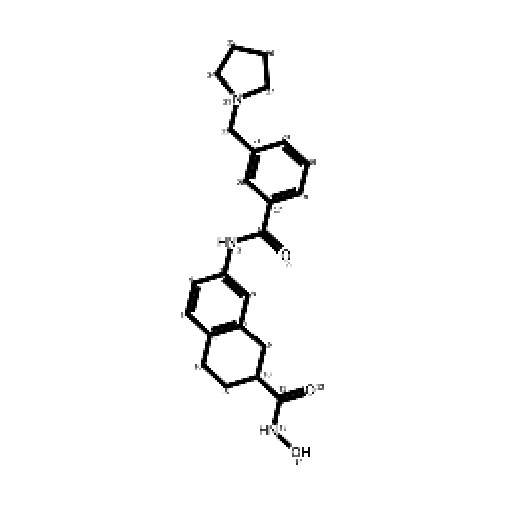 O=C(Nc1ccc2c(c1)CC(C(=O)NO)CC2)c1cccc(CN2CCCC2)c1